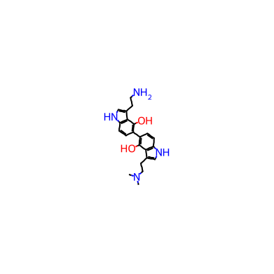 CN(C)CCc1c[nH]c2ccc(-c3ccc4[nH]cc(CCN)c4c3O)c(O)c12